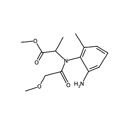 COCC(=O)N(c1c(C)cccc1N)C(C)C(=O)OC